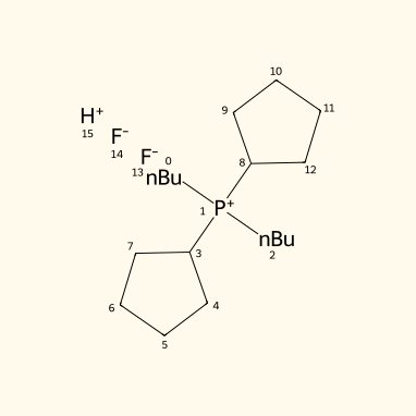 CCCC[P+](CCCC)(C1CCCC1)C1CCCC1.[F-].[F-].[H+]